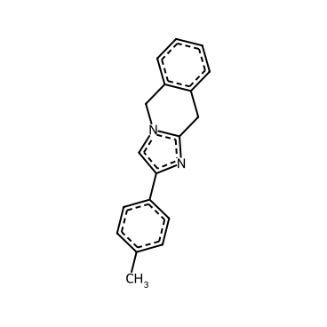 Cc1ccc(-c2cn3c(n2)Cc2ccccc2C3)cc1